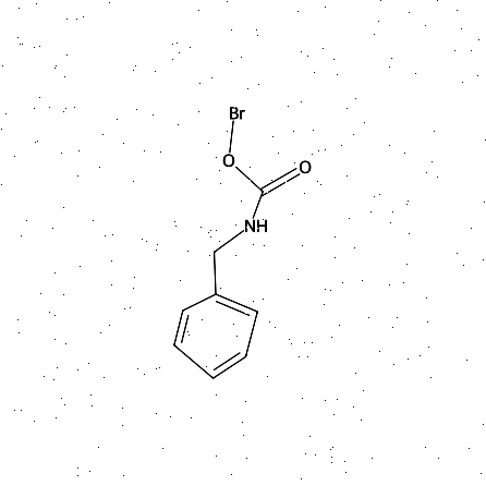 O=C(NCc1ccccc1)OBr